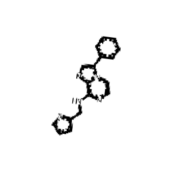 c1ccc(-c2cnc3c(NCc4cccs4)nccn23)cc1